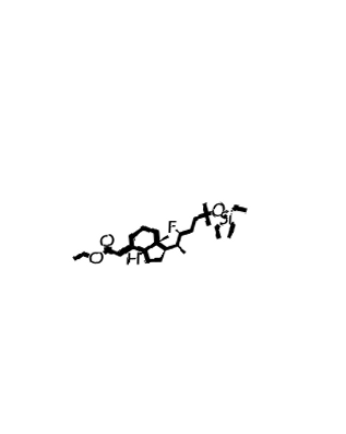 CCOC(=O)C=C1CCC[C@]2(C)[C@@H]([C@H](C)[C@H](F)CCC(C)(C)O[Si](CC)(CC)CC)CC[C@@H]12